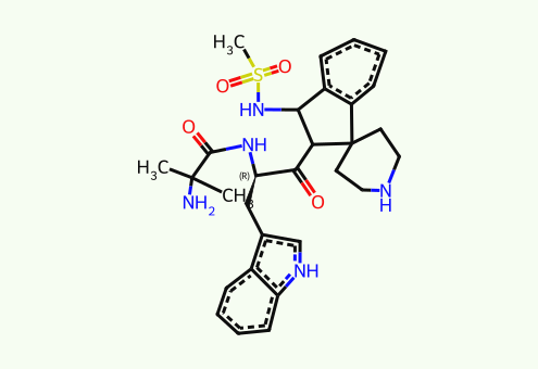 CC(C)(N)C(=O)N[C@H](Cc1c[nH]c2ccccc12)C(=O)C1C(NS(C)(=O)=O)c2ccccc2C12CCNCC2